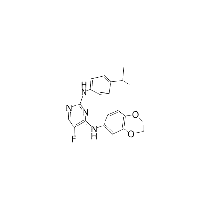 CC(C)c1ccc(Nc2ncc(F)c(Nc3ccc4c(c3)OCCO4)n2)cc1